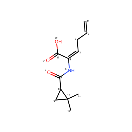 C=CCC=C(NC(=O)C1CC1(C)C)C(=O)O